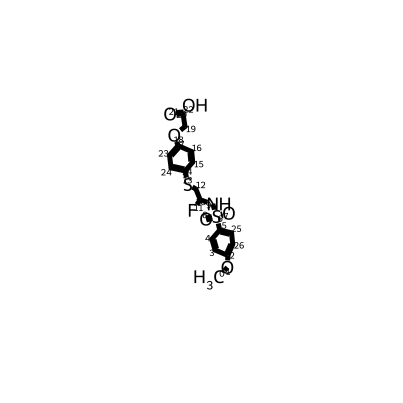 COc1ccc(S(=O)(=O)NC(F)CSc2ccc(OCC(=O)O)cc2)cc1